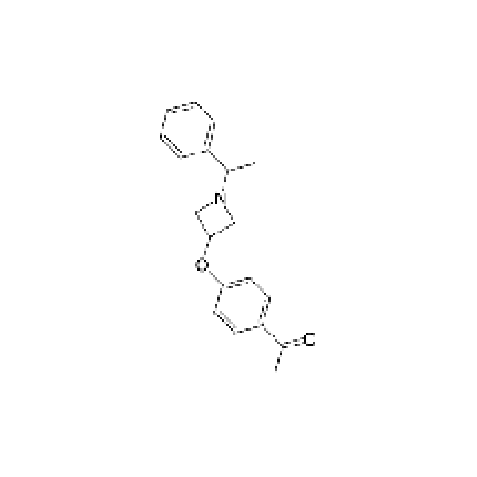 CC(=O)c1ccc(OC2CN(C(C)c3ccccc3)C2)cc1